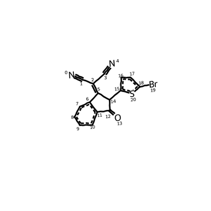 N#CC(C#N)=C1c2ccccc2C(=O)C1c1ccc(Br)s1